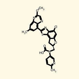 COc1cnc2c(-c3nc4c(Cl)cc5c(c4s3)C[C@H](CN(C(=O)O)c3ccc(C)nc3)O5)cc(C)cc2n1